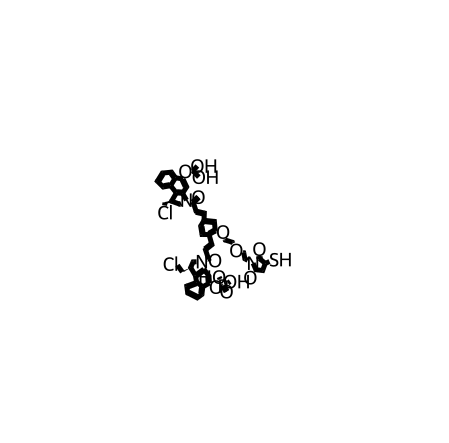 O=C1CC(S)C(=O)N1CCOCCOc1cc(/C=C/C(=O)N2C[C@@H](CCl)c3c2cc(OC(O)O)c2ccccc32)ccc1/C=C/C(=O)N1C[C@@H](CCl)c2c1cc(OP(=O)(O)O)c1ccccc21